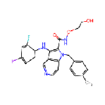 O=C(NOCCO)c1c(NC2CC=C(I)C=C2F)c2cnccc2n1Cc1ccc(C(F)(F)F)cc1